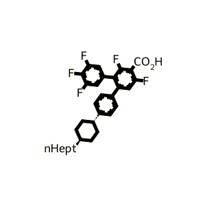 CCCCCCC[C@H]1CC[C@H](c2ccc(-c3cc(F)c(C(=O)O)c(F)c3-c3cc(F)c(F)c(F)c3)cc2)CC1